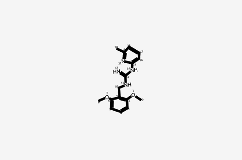 COc1cccc(OC)c1CNC(=N)Nc1cccc(C)n1